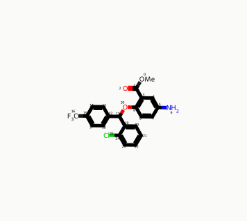 COC(=O)c1cc(N)ccc1OC(c1ccc(C(F)(F)F)cc1)c1ccccc1Cl